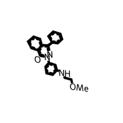 COCCNc1cccc(-n2nc(-c3ccccc3)c3ccccc3c2=O)c1